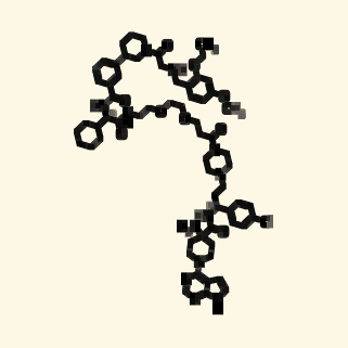 CCOc1cc(OC)ccc1CNCC(=O)N1CCCC(c2cccc(C(=O)N[C@@H](C(=O)NCCOCCOCCC(=O)N3CCN(CC[C@H](NC(=O)C4(N)CCN(c5ncnc6[nH]ccc56)CC4)c4ccc(Cl)cc4)CC3)C3CCCCC3)c2)C1